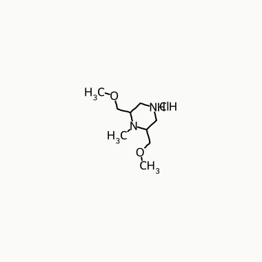 COCC1CNCC(COC)N1C.Cl